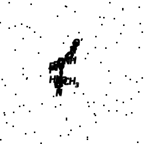 COc1cc(C#N)ccc1NCC#Cc1cc2c(N[C@H]3CC[C@@H](N4CC5(COC5)C4)CC3)cccc2n1CC(F)(F)F